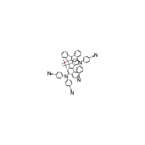 CC(C)(C)C1(C2(C(C)(C)C)c3ccccc3-c3c2cc(N(c2ccc(C#N)cc2)c2ccc(C#N)cc2)c2ccccc32)c2ccccc2-c2c1cc(N(c1ccc(C#N)cc1)c1ccc(C#N)cc1)c1ccccc21